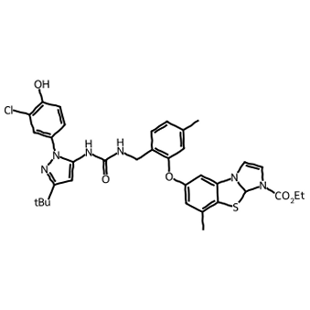 CCOC(=O)N1C=CN2c3cc(Oc4cc(C)ccc4CNC(=O)Nc4cc(C(C)(C)C)nn4-c4ccc(O)c(Cl)c4)cc(C)c3SC12